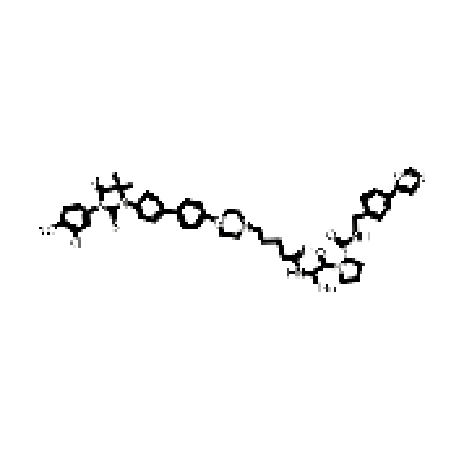 CC(C)(C)C(NC(=O)CCCCN1CCN(c2ccc(-c3ccc(N4C(=S)N(c5ccc(C#N)c(Cl)c5)C(=O)C4(C)C)cc3)cc2)CC1)C(=O)N1CCC[C@H]1C(=O)NCc1ccc(-c2cnco2)cc1